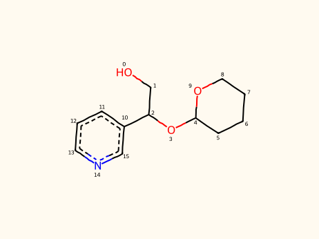 OCC(OC1CCCCO1)c1cccnc1